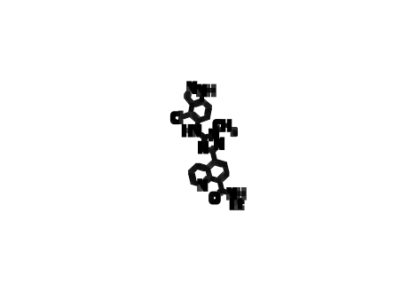 CCNC(=O)c1ccc(-c2nc(Nc3ccc4[nH]ncc4c3Cl)n(C)n2)c2cccnc12